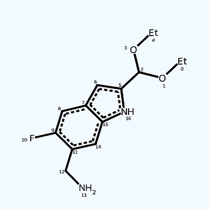 CCOC(OCC)c1cc2cc(F)c(CN)cc2[nH]1